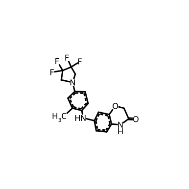 Cc1cc(N2CC(F)(F)C(F)(F)C2)ccc1Nc1ccc2c(c1)OCC(=O)N2